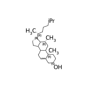 CC(C)CCC[C@@H](C)[C@H]1CCC2C3CC=C4C[C@@H](O)CC[C@]4(C)C3C[C@@H](C)C21